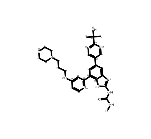 CCNC(=O)Nc1nc2cc(-c3cnc(C(C)(C)O)nc3)cc(-c3cc(OCCCN4CCOCC4)ccn3)c2s1